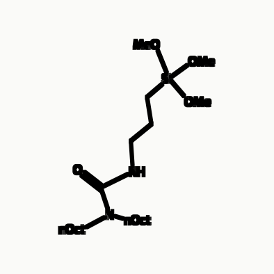 CCCCCCCCN(CCCCCCCC)C(=O)NCCC[Si](OC)(OC)OC